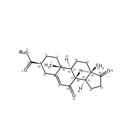 CC(C)COC(=O)[C@H]1CC[C@@]2(C)C(=CC(=O)[C@@H]3[C@@H]2CC[C@]2(C)C(=O)CC[C@@H]32)C1